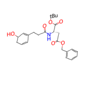 CC(C)(C)OC(=O)[C@H](CC(=O)OCc1ccccc1)NC(=O)CCC1=CC(O)CC=C1